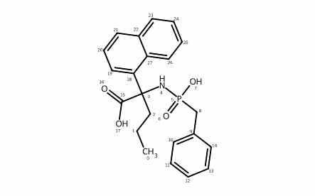 CCCC(NP(=O)(O)Cc1ccccc1)(C(=O)O)c1cccc2ccccc12